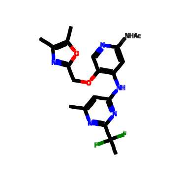 CC(=O)Nc1cc(Nc2cc(C)nc(C(C)(F)F)n2)c(OCc2nc(C)c(C)o2)cn1